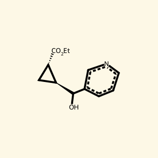 CCOC(=O)[C@H]1C[C@@H]1C(O)c1cccnc1